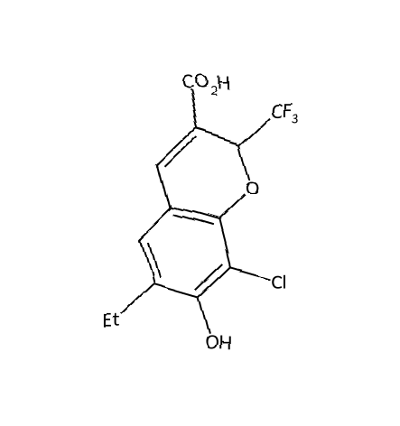 CCc1cc2c(c(Cl)c1O)OC(C(F)(F)F)C(C(=O)O)=C2